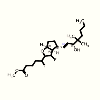 CCCCC(C)(C)[C@H](O)/C=C/[C@H]1CC[C@@H]2OC(C(I)CCCC(=O)OC)C(F)[C@@H]21